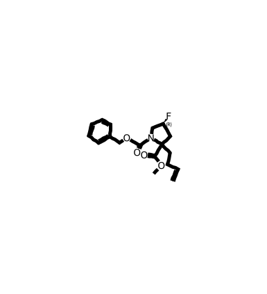 C=CCCC1(C(=O)OC)C[C@@H](F)CN1C(=O)OCc1ccccc1